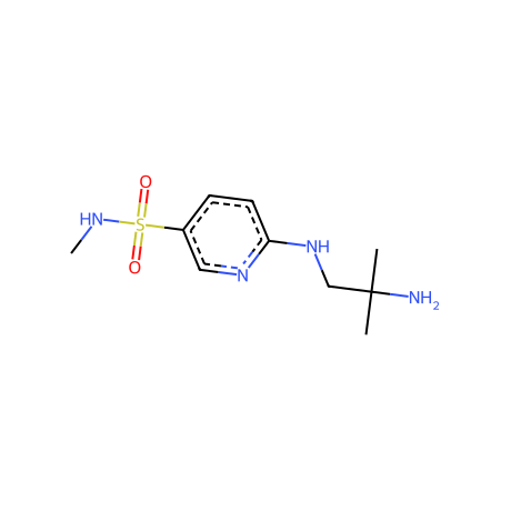 CNS(=O)(=O)c1ccc(NCC(C)(C)N)nc1